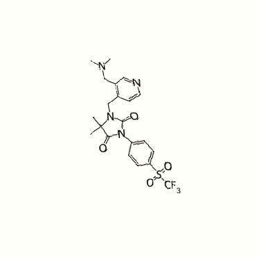 CN(C)Cc1cnccc1CN1C(=O)N(c2ccc(S(=O)(=O)C(F)(F)F)cc2)C(=O)C1(C)C